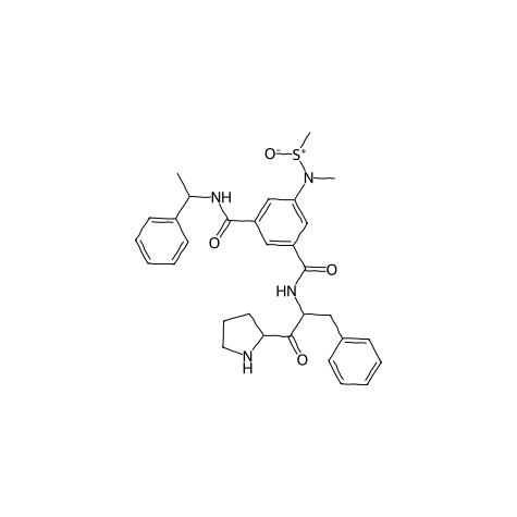 CC(NC(=O)c1cc(C(=O)NC(Cc2ccccc2)C(=O)C2CCCN2)cc(N(C)[S+](C)[O-])c1)c1ccccc1